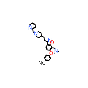 CN(C)Cc1c(Oc2ccc(C#N)cc2)ccc2c(CCC3CCN(Cc4ccccn4)CC3)noc12